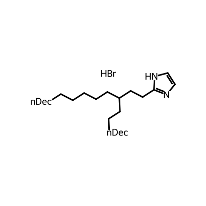 Br.CCCCCCCCCCCCCCCC(CCCCCCCCCCCC)CCc1ncc[nH]1